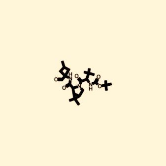 CC1CC(C=O)(NC(=O)C2C3C(CN2C(=O)C(NC(=O)OC(C)(C)C)C(C)(C)C)C3(C)C)C1